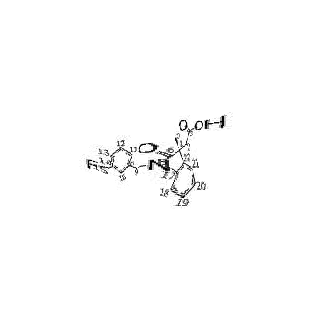 C[C@]1(CC(=O)O)C(=O)N(Cc2cccc(F)c2)c2ccccc21